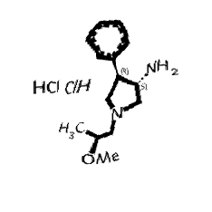 COC(C)CN1C[C@@H](N)[C@H](c2ccccc2)C1.Cl.Cl